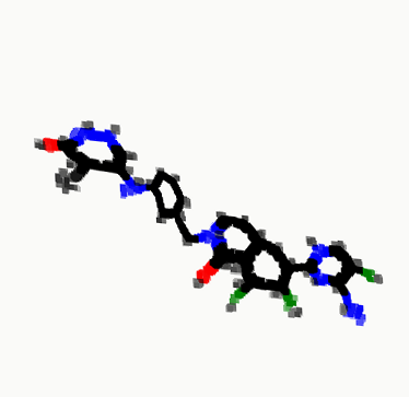 Nc1nc(-c2cc3ccn(C[C@@H]4CCC[C@H](Nc5cn[nH]c(=O)c5C(F)(F)F)C4)c(=O)c3c(F)c2F)ncc1Cl